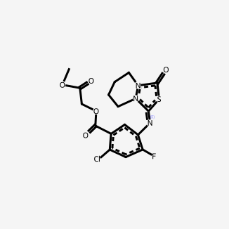 COC(=O)COC(=O)c1cc(/N=c2/sc(=O)n3n2CCCC3)c(F)cc1Cl